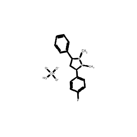 CN1C(c2ccccc2)CC(c2ccc(F)cc2)N1C.[O-][Cl+3]([O-])([O-])O